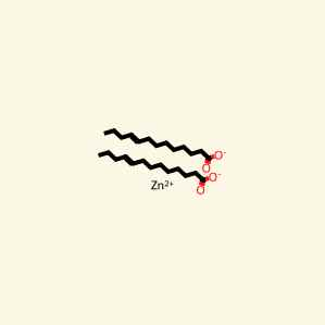 CCCC=CCCCCCCCC(=O)[O-].CCCC=CCCCCCCCC(=O)[O-].[Zn+2]